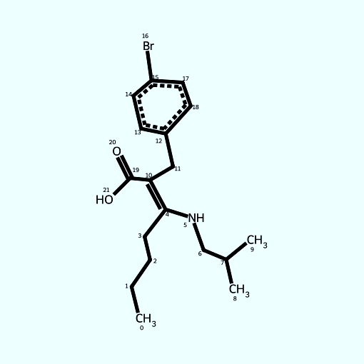 CCCCC(NCC(C)C)=C(Cc1ccc(Br)cc1)C(=O)O